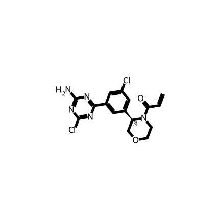 C=CC(=O)N1CCOC[C@H]1c1cc(Cl)cc(-c2nc(N)nc(Cl)n2)c1